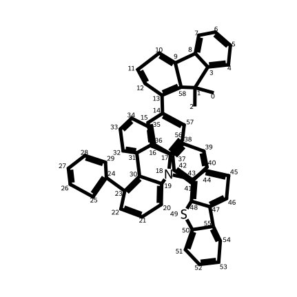 CC1(C)c2ccccc2-c2cccc(-c3ccc(N(c4cccc(-c5ccccc5)c4-c4ccccc4-c4ccccc4)c4cccc5c4sc4ccccc45)cc3)c21